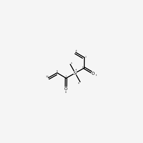 C=CC(=O)[Si](C)(C)C(=O)C=C